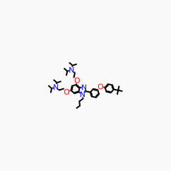 CCCCn1c(-c2cccc(Oc3ccc(C(C)(C)C)cc3)c2)nc2c(OCCN(C(C)C)C(C)C)cc(OCCN(C(C)C)C(C)C)cc21